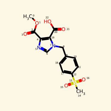 COC(=O)c1ncn(Cc2ccc(S(C)(=O)=O)cc2)c1C(=O)O